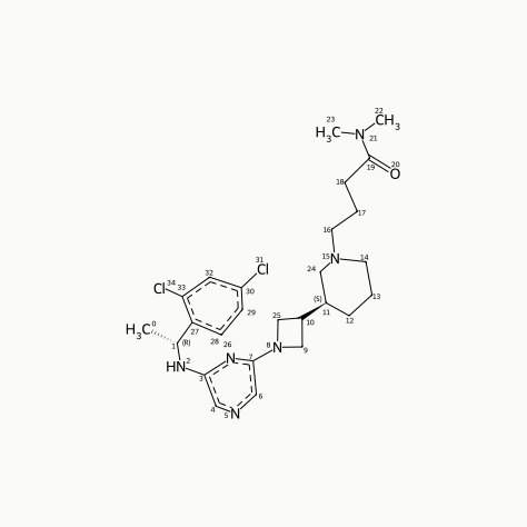 C[C@@H](Nc1cncc(N2CC([C@@H]3CCCN(CCCC(=O)N(C)C)C3)C2)n1)c1ccc(Cl)cc1Cl